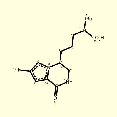 CC(C)(C)N(CCC[C@H]1CNC(=O)c2cc(I)cn21)C(=O)O